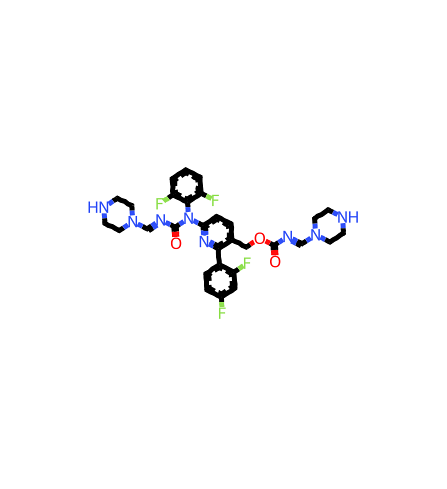 O=C(/N=C/N1CCNCC1)OCc1ccc(N(C(=O)/N=C/N2CCNCC2)c2c(F)cccc2F)nc1-c1ccc(F)cc1F